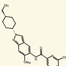 COc1cc2nn([C@H]3CC[C@H](CO)CC3)cc2cc1NC(=O)c1cccc(C(F)(F)F)n1